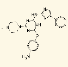 CN1CCN(C2=NC(Sc3ccc(N)cc3)NC(Nc3ncc(-c4ccccc4)s3)=N2)CC1